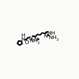 C=N/C(=C\N(N)CC(=O)NC1CCCC1)CCCc1c[nH]c(N)n1